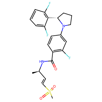 C[C@H](/C=C/S(C)(=O)=O)NC(=O)c1ccc(N2CCC[C@H]2c2c(F)cccc2F)cc1F